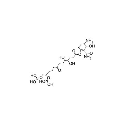 NC(=O)c1c(OC(=O)CCC(O)C(O)CCC(=O)CCCC(CON(O)O)ON(O)O)ccc(N)c1O